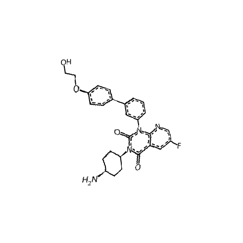 N[C@H]1CC[C@@H](n2c(=O)c3cc(F)cnc3n(-c3cccc(-c4ccc(OCCO)cc4)c3)c2=O)CC1